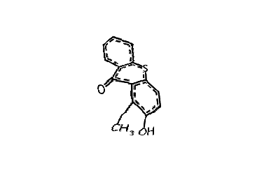 CCc1c(O)ccc2sc3ccccc3c(=O)c12